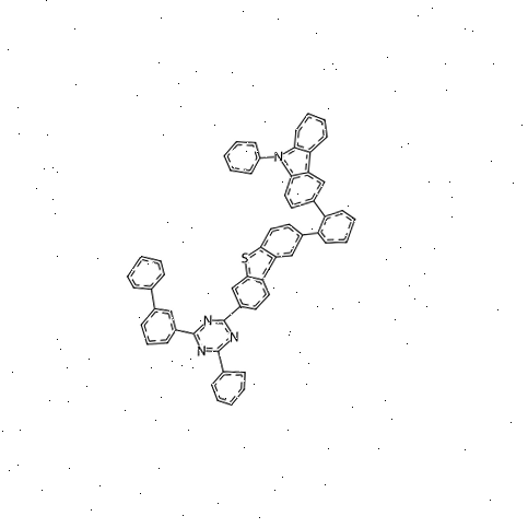 c1ccc(-c2cccc(-c3nc(-c4ccccc4)nc(-c4ccc5c(c4)sc4ccc(-c6ccccc6-c6ccc7c(c6)c6ccccc6n7-c6ccccc6)cc45)n3)c2)cc1